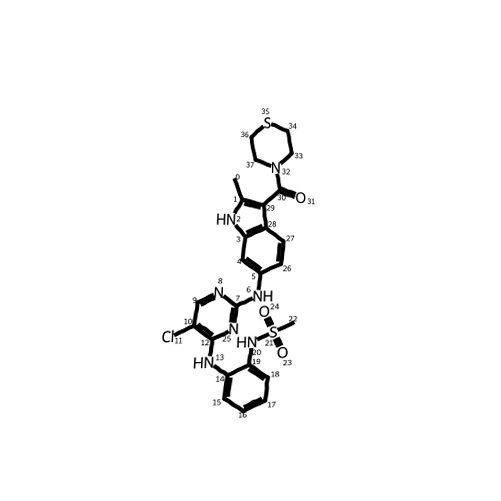 Cc1[nH]c2cc(Nc3ncc(Cl)c(Nc4ccccc4NS(C)(=O)=O)n3)ccc2c1C(=O)N1CCSCC1